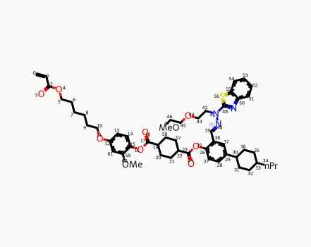 C=CC(=O)OCCCCCCOc1ccc(OC(=O)C2CCC(C(=O)Oc3ccc(C4CCC(CCC)CC4)cc3/C=N/N(CCOCCOC)c3nc4ccccc4s3)CC2)c(OC)c1